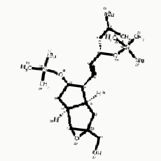 CCCC[C@@H](C)C[C@@H](/C=C/[C@H]1[C@H]2CC3(CO)OC3[C@H]2C[C@H]1O[Si](C)(C)C(C)(C)C)O[Si](C)(C)C(C)(C)C